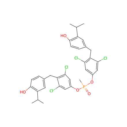 CC(C)c1cc(Cc2c(Cl)cc(OP(C)(=O)Oc3cc(Cl)c(Cc4ccc(O)c(C(C)C)c4)c(Cl)c3)cc2Cl)ccc1O